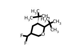 CC(C)(C)C1OCC(C(F)F)C[C@@H]1C(C)(C)C